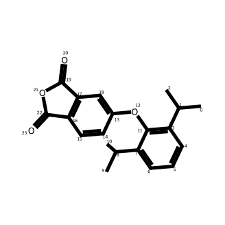 CC(C)c1cccc(C(C)C)c1Oc1ccc2c(c1)C(=O)OC2=O